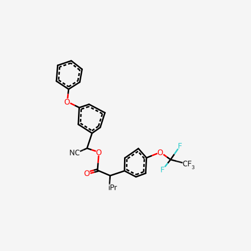 CC(C)C(C(=O)OC(C#N)c1cccc(Oc2ccccc2)c1)c1ccc(OC(F)(F)C(F)(F)F)cc1